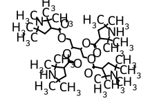 CN1C(C)(C)CC(C(=O)OCC(OC(=O)C2CC(C)(C)NC2(C)C)C(COC(=O)C2CC(C)(C)N(C)C2(C)C)OC(=O)C2CC(C)(C)NC2(C)C)C1(C)C